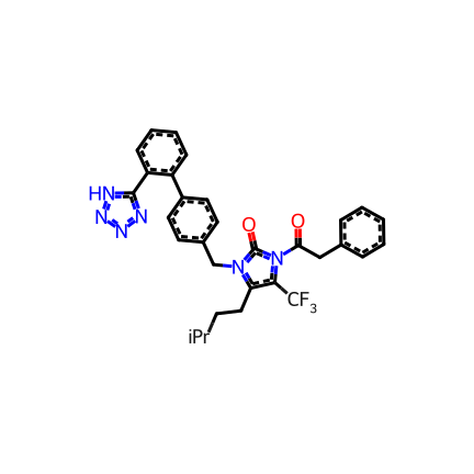 CC(C)CCc1c(C(F)(F)F)n(C(=O)Cc2ccccc2)c(=O)n1Cc1ccc(-c2ccccc2-c2nnn[nH]2)cc1